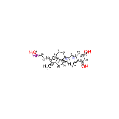 C=C1/C(=C\C=C2/CCC[C@]3(C)C(C(C)CCCPO)CC[C@@H]23)C[C@@H](O)C[C@@H]1O